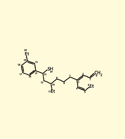 C=C/C=C(\C=C/CC)CCCC(CC)CC(S)c1cccc(CC)c1